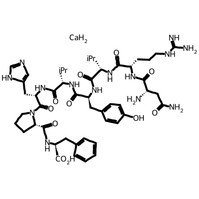 CC(C)[C@H](NC(=O)[C@H](CCCNC(=N)N)NC(=O)[C@@H](N)CC(N)=O)C(=O)N[C@@H](Cc1ccc(O)cc1)C(=O)N[C@H](C(=O)N[C@@H](Cc1cnc[nH]1)C(=O)N1CCC[C@H]1C(=O)N[C@@H](Cc1ccccc1)C(=O)O)C(C)C.[CaH2]